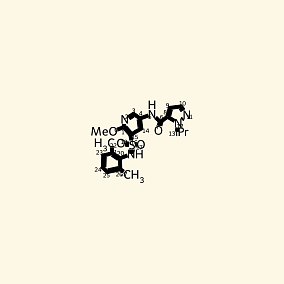 COc1ncc(NC(=O)c2ccnn2C(C)C)cc1S(=O)(=O)Nc1c(C)cccc1C